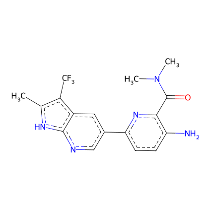 Cc1[nH]c2ncc(-c3ccc(N)c(C(=O)N(C)C)n3)cc2c1C(F)(F)F